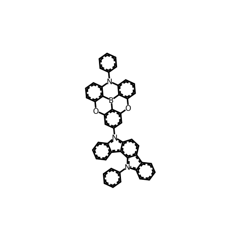 c1ccc(N2c3cccc4c3B3c5c(cc(-n6c7ccccc7c7c6ccc6c8ccccc8n(-c8ccccc8)c67)cc5Oc5cccc2c53)O4)cc1